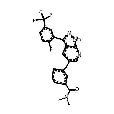 CN(C)C(=O)c1cccc(-c2cnc3[nH]nc(-c4cc(C(F)(F)F)ccc4F)c3c2)c1